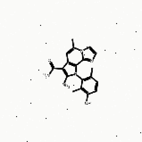 Cc1ccc(O)c(C)c1-n1c(N)c(C(N)=O)c2cc(C)n3ccnc3c21